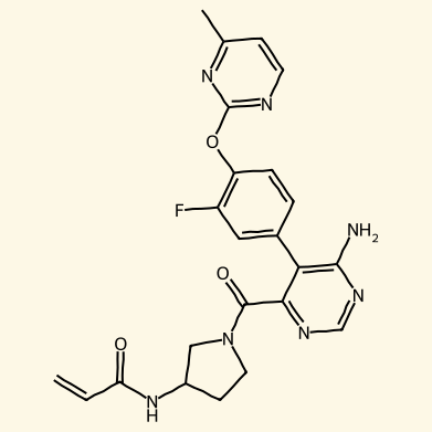 C=CC(=O)NC1CCN(C(=O)c2ncnc(N)c2-c2ccc(Oc3nccc(C)n3)c(F)c2)C1